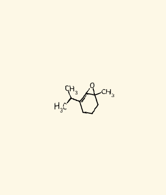 CC(C)C1=C2OC2(C)CCC1